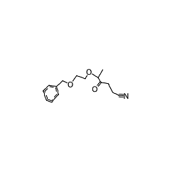 CC(OCCOCc1ccccc1)C(=O)CCC#N